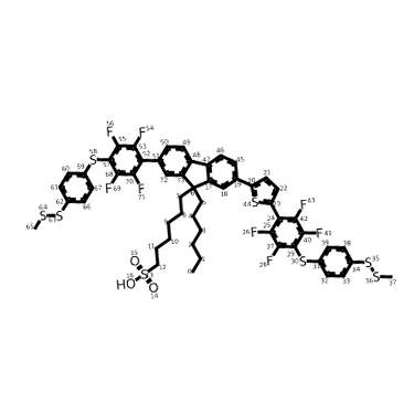 CCCCCCC1(CCCCCCS(=O)(=O)O)c2cc(-c3ccc(-c4c(F)c(F)c(Sc5ccc(SSC)cc5)c(F)c4F)s3)ccc2-c2ccc(-c3c(F)c(F)c(Sc4ccc(SSC)cc4)c(F)c3F)cc21